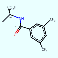 C[C@H](NC(=O)c1cc(C(F)(F)F)cc(C(F)(F)F)c1)C(=O)O